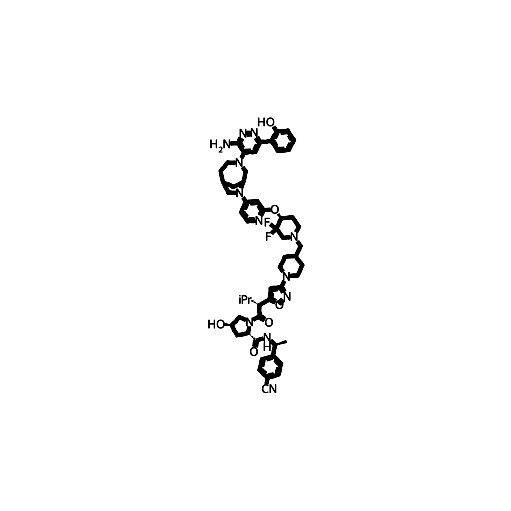 CC(C)[C@@H](C(=O)N1C[C@H](O)C[C@H]1C(=O)N[C@@H](C)c1ccc(C#N)cc1)c1cc(N2CCC(CN3CC[C@H](Oc4cc(N5CC6CCN(c7cc(-c8ccccc8O)nnc7N)CC5C6)ccn4)C(F)(F)C3)CC2)no1